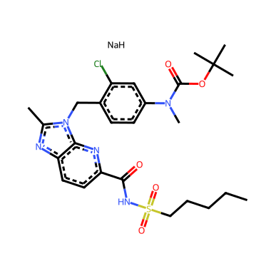 CCCCCS(=O)(=O)NC(=O)c1ccc2nc(C)n(Cc3ccc(N(C)C(=O)OC(C)(C)C)cc3Cl)c2n1.[NaH]